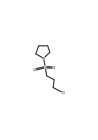 O=S(=O)(CCCCl)N1CCCC1